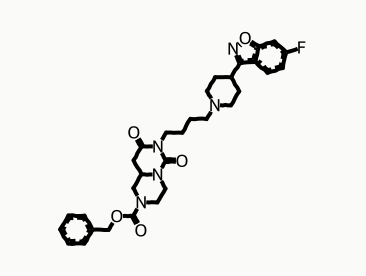 O=C(OCc1ccccc1)N1CCN2C(=O)N(CCCCN3CCC(c4noc5cc(F)ccc45)CC3)C(=O)CC2C1